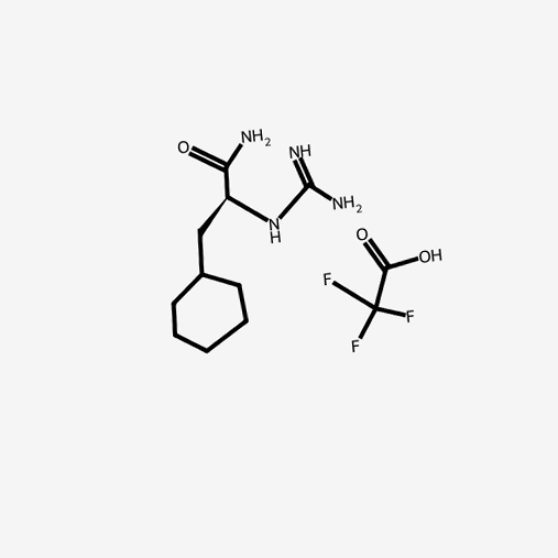 N=C(N)N[C@@H](CC1CCCCC1)C(N)=O.O=C(O)C(F)(F)F